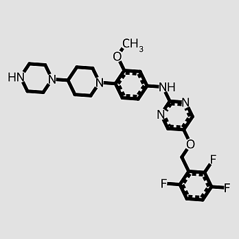 COc1cc(Nc2ncc(OCc3c(F)ccc(F)c3F)cn2)ccc1N1CCC(N2CCNCC2)CC1